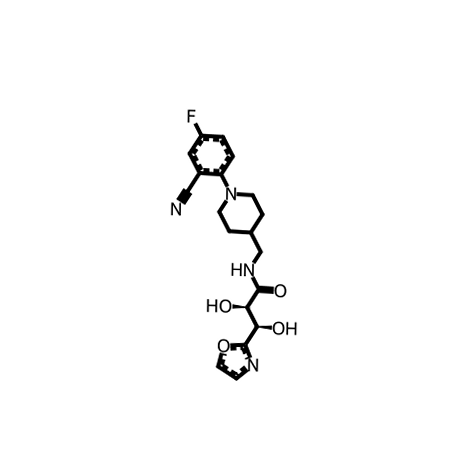 N#Cc1cc(F)ccc1N1CCC(CNC(=O)[C@H](O)[C@@H](O)c2ncco2)CC1